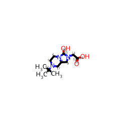 CC(C)(C)N1CCN2C(CN(CC(=O)O)C2O)C1